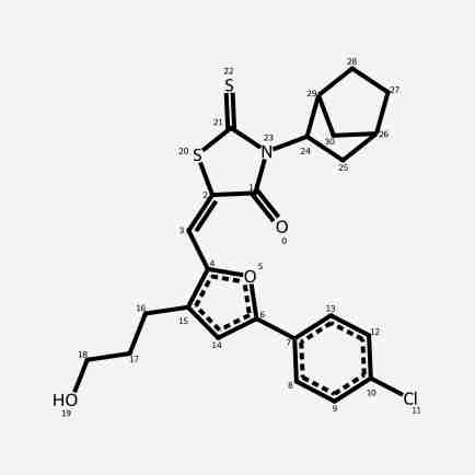 O=C1/C(=C\c2oc(-c3ccc(Cl)cc3)cc2CCCO)SC(=S)N1C1CC2CCC1C2